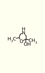 CC1CNCC(C)(O)O1